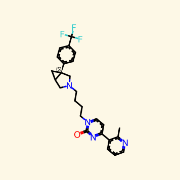 Cc1ncccc1-c1ccn(CCCCN2CC3C[C@]3(c3ccc(C(F)(F)F)cc3)C2)c(=O)n1